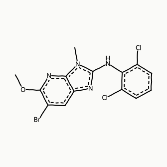 COc1nc2c(cc1Br)nc(Nc1c(Cl)cccc1Cl)n2C